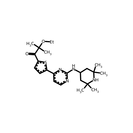 CCOC(C)(C)C(=O)c1ccc(-c2ccnc(NC3CC(C)(C)NC(C)(C)C3)n2)s1